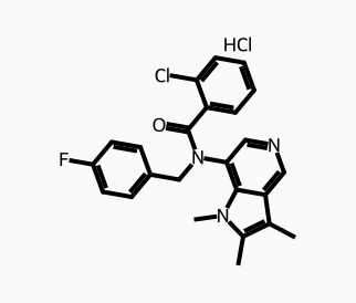 Cc1c(C)n(C)c2c(N(Cc3ccc(F)cc3)C(=O)c3ccccc3Cl)cncc12.Cl